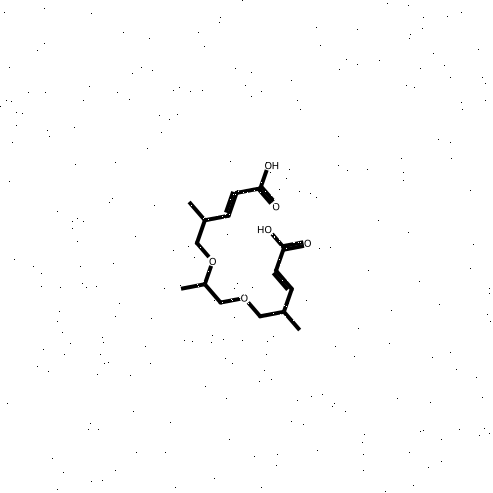 CC(C=CC(=O)O)COCC(C)OCC(C)C=CC(=O)O